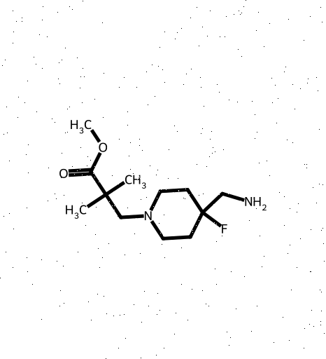 COC(=O)C(C)(C)CN1CCC(F)(CN)CC1